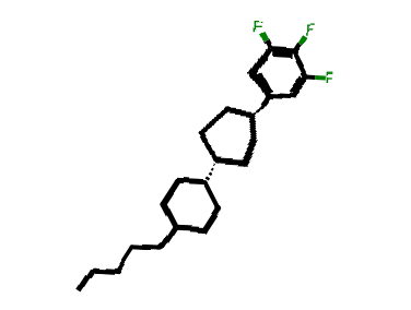 CCCCCC1CCC([C@H]2CC[C@H](c3cc(F)c(F)c(F)c3)CC2)CC1